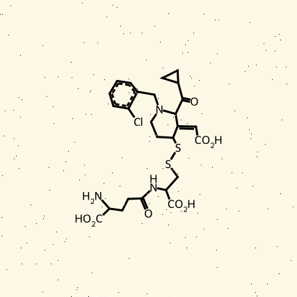 NC(CCC(=O)NC(CSSC1CCN(Cc2ccccc2Cl)C(C(=O)C2CC2)/C1=C/C(=O)O)C(=O)O)C(=O)O